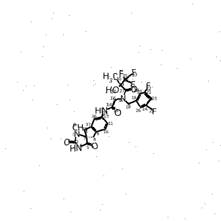 CN1C(=O)NC(=O)[C@@]12Cc1ccc(NC(=O)CN(Cc3cc(F)cc(F)c3)C(=O)[C@](C)(O)C(F)(F)F)cc1C2